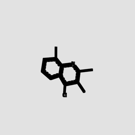 Cc1nc2c(C)cccc2c(Cl)c1C